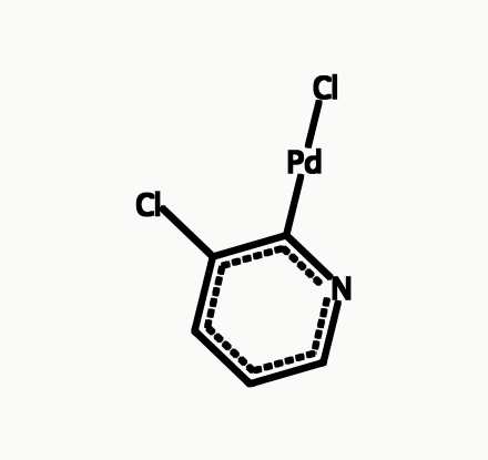 [Cl][Pd][c]1ncccc1Cl